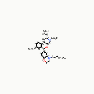 COCCCN1CCOc2ccc(CO[C@H]3CN(C(=O)O)[C@H](CCC(=O)O)C[C@@H]3c3ccc(OC)cc3)cc21